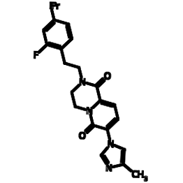 Cc1cn(-c2ccc3n(c2=O)CCN(CCc2ccc(C(C)C)cc2F)C3=O)cn1